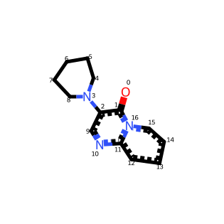 O=c1c(N2CCCCC2)cnc2ccccn12